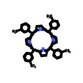 Cc1cccc(-c2c3nc(c(-c4cccc(C)c4)c4ccc([nH]4)c(-c4cccc(C)c4)c4nc(c(-c5cccc(C)c5)c5ccc2[nH]5)C=C4)C=C3)c1